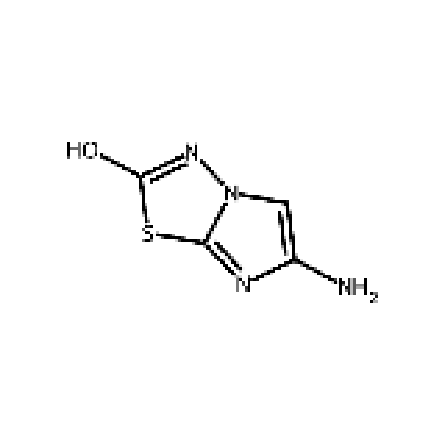 Nc1cn2nc(O)sc2n1